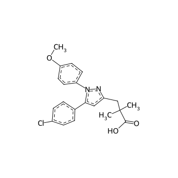 COc1ccc(-n2nc(CC(C)(C)C(=O)O)cc2-c2ccc(Cl)cc2)cc1